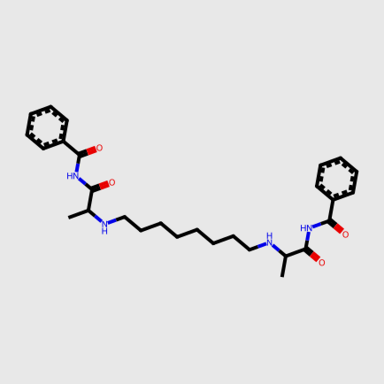 CC(NCCCCCCCCNC(C)C(=O)NC(=O)c1ccccc1)C(=O)NC(=O)c1ccccc1